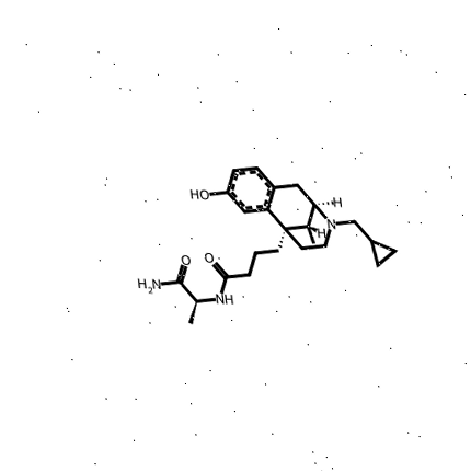 C[C@H](NC(=O)CCC[C@]12CCN(CC3CC3)[C@H](Cc3ccc(O)cc31)[C@@H]2C)C(N)=O